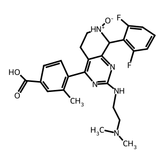 Cc1cc(C(=O)O)ccc1-c1nc(NCCN(C)C)nc2c1CC[NH+]([O-])C2c1c(F)cccc1F